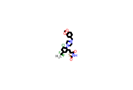 CC(F)(F)c1cc(Cl)c(N2CCN(Cc3ccc4c(c3)OCO4)CC2)c(/C=C2\SC(=O)NC2=O)c1